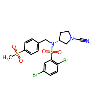 CS(=O)(=O)c1ccc(CN([C@@H]2CCN(C#N)C2)S(=O)(=O)c2cc(Br)ccc2Br)cc1